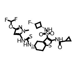 Cn1nc(OC(F)F)cc1NC(=S)N[C@H]1CCc2sc(NC(=O)C3CC3)c(S(=O)(=O)N[C@H]3C[C@@H](F)C3)c2C1